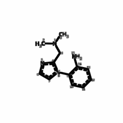 CN(C)Cc1nccn1-c1ccccc1N